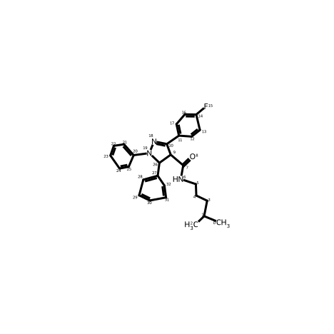 CC(C)CCCNC(=O)C1C(c2ccc(F)cc2)=NN(c2ccccc2)C1c1ccccc1